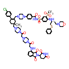 CC1(CN2CCN(C(=O)CN3CCN(C(=O)CNc4cccc5c4C(=O)N(C4CCC(=O)NC4=O)C5=O)CC3)CC2)CCC(c2ccc(Cl)cc2)=C(CN2CCN(c3ccc(C(=O)NS(=O)(=O)c4ccc(N[C@H](CCN5CCOCC5)CSc5ccccc5)c(S(=O)(=O)C(F)(F)F)c4)cc3)CC2)C1